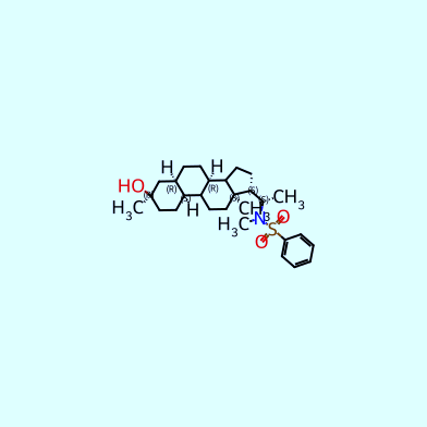 C[C@@H]([C@H]1CCC2[C@@H]3CC[C@@H]4C[C@](C)(O)CC[C@@H]4C3CC[C@@]21C)N(C)S(=O)(=O)c1ccccc1